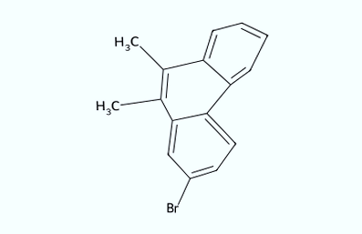 Cc1c(C)c2cc(Br)ccc2c2ccccc12